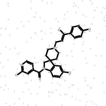 O=C(c1ccnc(Cl)c1)N1CC2(CCN(C/C=C(\Cl)c3ccc(Cl)cc3)CC2)c2cc(Cl)ccc21